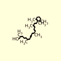 CC(C=CC=C(C)C=CC1=C(C)CCCC1(C)C)=CC#CC=C(C)C=CC=C(C)CO